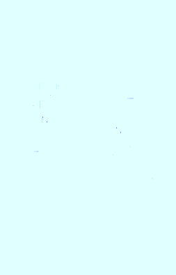 Cc1ccccc1-c1ccc2c3ccccc3n(-c3cc(-c4ccc(C(F)(F)F)c(-n5c6ccccc6c6ccc(-c7ccccc7C)cc65)c4)ccc3C(F)(F)F)c2c1